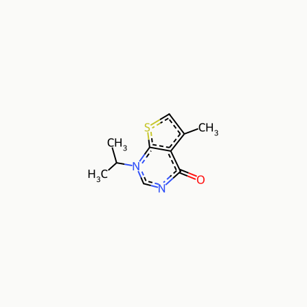 Cc1csc2c1c(=O)ncn2C(C)C